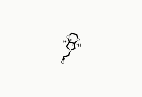 O=CCN1C[C@@H]2OCCO[C@@H]2C1